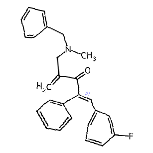 C=C(CN(C)Cc1ccccc1)C(=O)/C(=C/c1cccc(F)c1)c1ccccc1